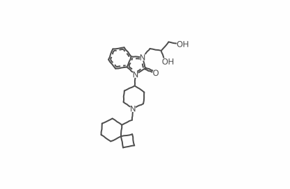 O=c1n(CC(O)CO)c2ccccc2n1C1CCN(CC2CCCCC23CCC3)CC1